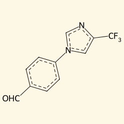 O=Cc1ccc(-n2cnc(C(F)(F)F)c2)cc1